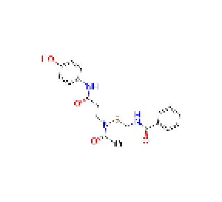 CC(C)C(=O)N(CCC(=O)Nc1ccc(O)cc1)SCNC(=O)c1ccccc1